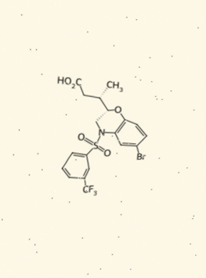 C[C@@H](CC(=O)O)[C@H]1CN(S(=O)(=O)c2cccc(C(F)(F)F)c2)c2cc(Br)ccc2O1